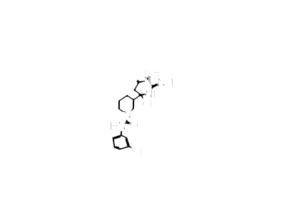 CN1C(=N)NC(C)(C2CCCN(C(=O)Nc3cccc(C(F)(F)F)c3)C2)CC1=O